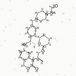 C[C@H](Nc1ncc2c(n1)N([C@H](C)COC1CCCCO1)C(=O)OC2)c1ccc(CN2CCN(BC=O)CC2)cc1